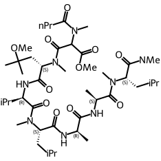 CCCC(=O)N(C)C(C(=O)OC)C(=O)N(C)[C@@H](CC(C)(C)OC)C(=O)N[C@@H](C(=O)N(C)[C@@H](CC(C)C)C(=O)N[C@H](C)C(=O)N[C@@H](C)C(=O)N(C)[C@@H](CC(C)C)C(=O)NC)C(C)C